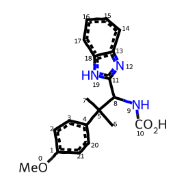 COc1ccc(C(C)(C)C(NC(=O)O)c2nc3ccccc3[nH]2)cc1